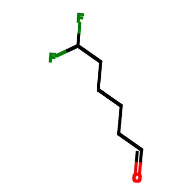 O=CCCCCC(F)F